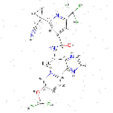 CC(NC(=O)c1cc(C(F)(F)F)nc(C2(C#N)CC2)c1)c1nccnc1-c1ccc(OC(F)F)cn1